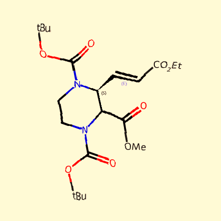 CCOC(=O)/C=C/[C@H]1C(C(=O)OC)N(C(=O)OC(C)(C)C)CCN1C(=O)OC(C)(C)C